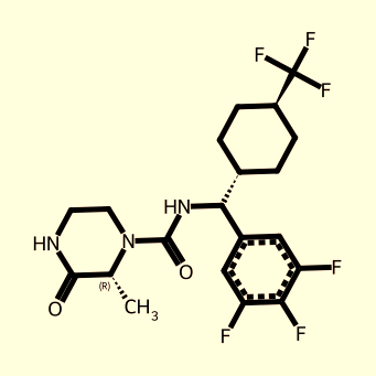 C[C@@H]1C(=O)NCCN1C(=O)NC(c1cc(F)c(F)c(F)c1)[C@H]1CC[C@H](C(F)(F)F)CC1